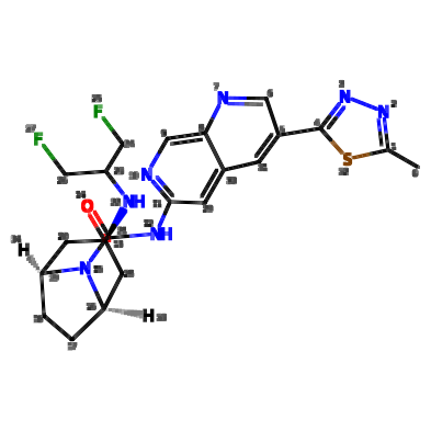 Cc1nnc(-c2cnc3cnc(NC(=O)N4[C@@H]5CC[C@H]4C[C@@H](NC(CF)CF)C5)cc3c2)s1